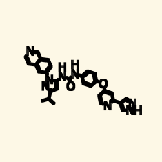 CC(C)c1cc(NC(=O)Nc2ccc(Oc3ccnc(-c4cn[nH]c4)c3)cc2)n(-c2ccc3cnccc3c2)n1